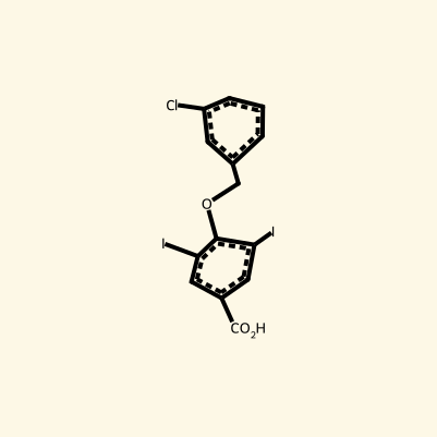 O=C(O)c1cc(I)c(OCc2cccc(Cl)c2)c(I)c1